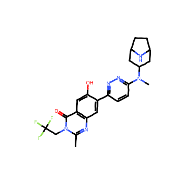 Cc1nc2cc(-c3ccc(N(C)C4CC5CCC(C4)N5)nn3)c(O)cc2c(=O)n1CC(F)(F)F